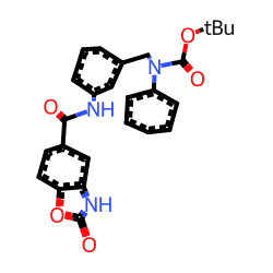 CC(C)(C)OC(=O)N(Cc1cccc(NC(=O)c2ccc3oc(=O)[nH]c3c2)c1)c1ccccc1